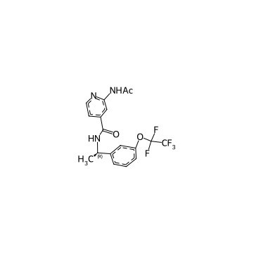 CC(=O)Nc1cc(C(=O)N[C@H](C)c2cccc(OC(F)(F)C(F)(F)F)c2)ccn1